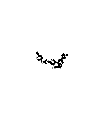 C#Cc1ccc(OC2CN(c3ccc(-c4cc(-c5ncn(C)n5)cn5ncc(C#N)c45)cn3)C2)cn1